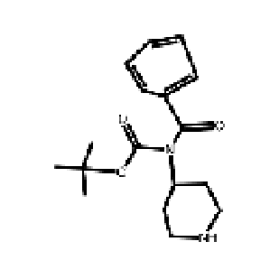 CC(C)(C)OC(=O)N(C(=O)c1ccccc1)C1CCNCC1